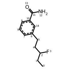 CCC(F)CCc1cccc(C(N)=O)c1